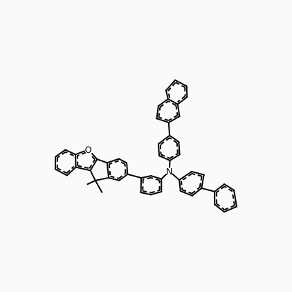 CC1(C)c2cc(-c3cccc(N(c4ccc(-c5ccccc5)cc4)c4ccc(-c5ccc6ccccc6c5)cc4)c3)ccc2-c2oc3ccccc3c21